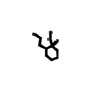 CCNP1(=O)OCCCN1CCCl